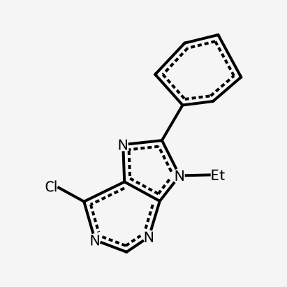 CCn1c(-c2ccccc2)nc2c(Cl)ncnc21